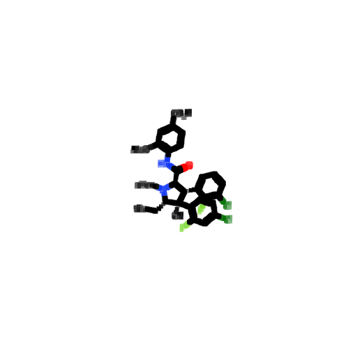 CCCCCCN1[C@@H](CC(C)(C)C)[C@](C#N)(c2ccc(Cl)cc2F)[C@@H](c2cccc(Cl)c2F)[C@@H]1C(=O)Nc1ccc(C(=O)O)cc1OC